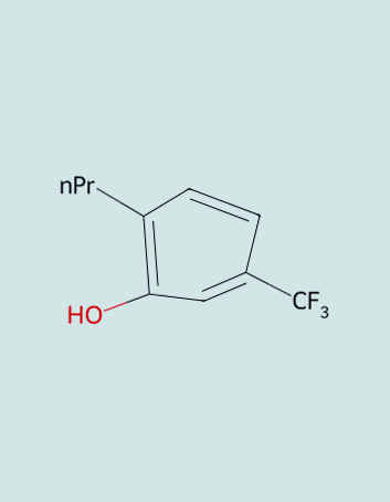 CCCc1ccc(C(F)(F)F)cc1O